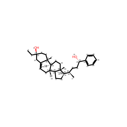 CC[C@]1(O)CC[C@@]2(C)C(=CC[C@H]3[C@@H]4CC[C@H]([C@H](C)CC[C@H](O)c5ccccc5)[C@@]4(C)CC[C@@H]32)C1